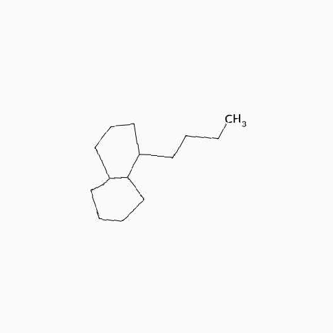 CCCCC1CCCC2CCCCC12